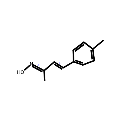 CC(/C=C/c1ccc(C)cc1)=N\O